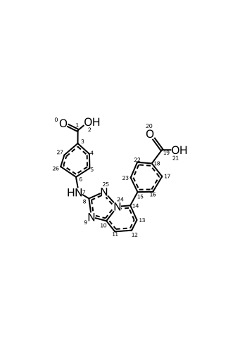 O=C(O)c1ccc(Nc2nc3cccc(-c4ccc(C(=O)O)cc4)n3n2)cc1